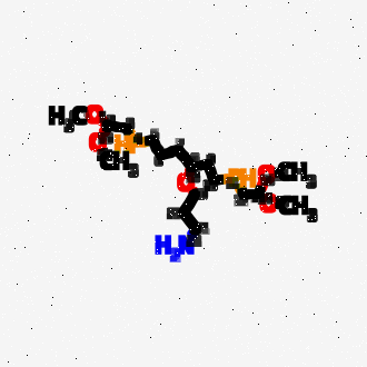 COC(CPCCCC(CCPCC(OC)OC)OCCCN)OC